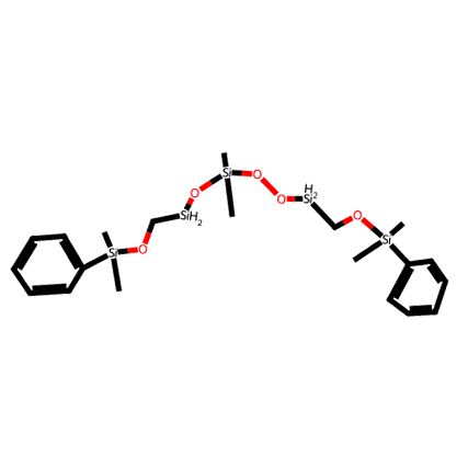 C[Si](C)(OO[SiH2]CO[Si](C)(C)c1ccccc1)O[SiH2]CO[Si](C)(C)c1ccccc1